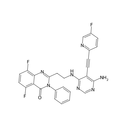 Nc1ncnc(NCCc2nc3c(F)ccc(F)c3c(=O)n2-c2ccccc2)c1C#Cc1ccc(F)cn1